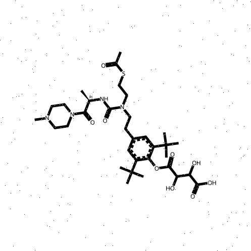 CC(=O)SCCN(CCc1cc(C(C)(C)C)c(OC(=O)C(O)C(O)C(=O)O)c(C(C)(C)C)c1)C(=O)N[C@H](C)C(=O)N1CCN(C)CC1